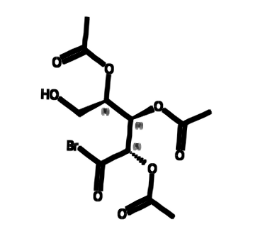 CC(=O)O[C@@H]([C@H](OC(C)=O)C(=O)Br)[C@@H](CO)OC(C)=O